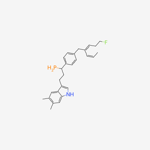 C/C=C\C(=C/CCF)Cc1ccc(C(P)CCc2c[nH]c3cc(C)c(C)cc23)cc1